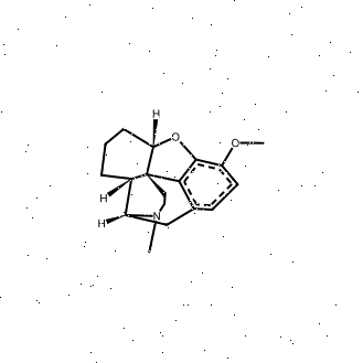 COc1ccc2c3c1O[C@H]1CCC[C@H]4[C@@H](C2)N(C)CC[C@]314